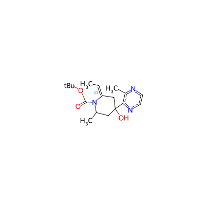 C/C=C1/CC(O)(c2nccnc2C)CC(C)N1C(=O)OC(C)(C)C